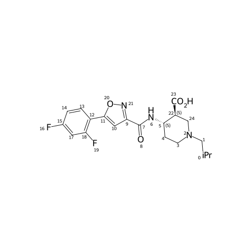 CC(C)CN1CC[C@H](NC(=O)c2cc(-c3ccc(F)cc3F)on2)[C@@H](C(=O)O)C1